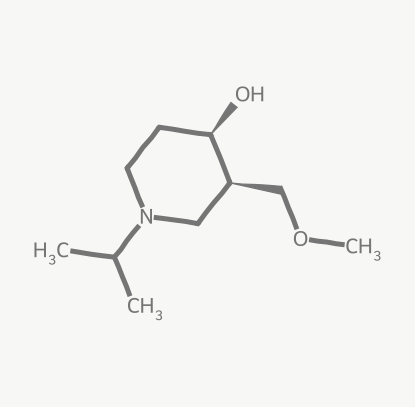 COC[C@H]1CN(C(C)C)CC[C@H]1O